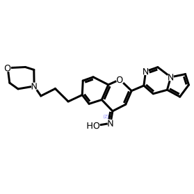 O/N=c1/cc(-c2cc3cccn3cn2)oc2ccc(CCCN3CCOCC3)cc12